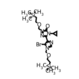 C[Si](C)(C)CCOCn1cnc(-c2nn(COCC[Si](C)(C)C)c(=O)n2C2CC2)c1Br